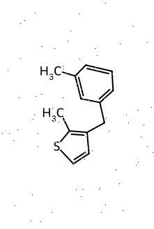 Cc1cccc(Cc2ccsc2C)c1